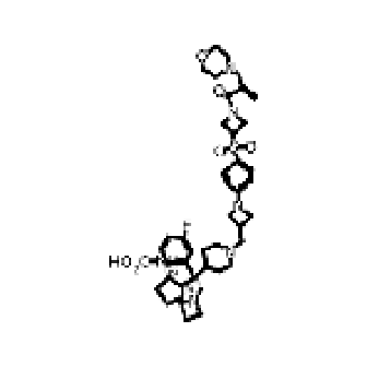 C=C(CN1CCOCC1)C(=O)N1CC(S(=O)(=O)c2ccc(N3CC(CN4CCC([C@](CN5CCC5)(c5cccc(F)c5)[C@H]5CCC[C@@H]5NC(=O)O)CC4)C3)cc2)C1